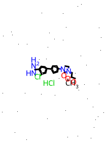 COC(C=O)CN1CCN(c2ccc(-c3ccc(C(=N)N)c(Cl)c3)cc2)C1=O.Cl